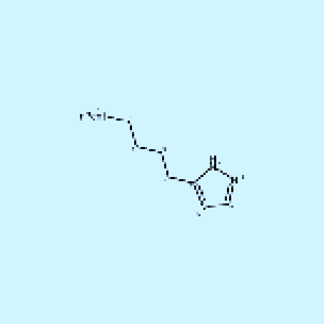 CCCCCCCCCc1ncn[nH]1